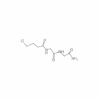 NC(=O)CNC(=O)CNC(=O)CCCCl